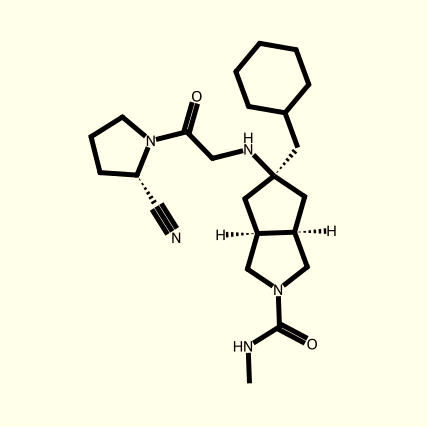 CNC(=O)N1C[C@@H]2C[C@](CC3CCCCC3)(NCC(=O)N3CCC[C@H]3C#N)C[C@@H]2C1